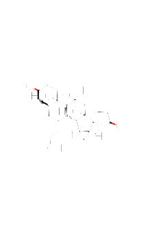 CCC[C@@H]1CC2=CC(=O)CC[C@]2(C)[C@@]23O[C@@H]2C[C@@]2(C)C(C13)[C@@H]1C[C@@H]1[C@@]21CCC(=O)O1